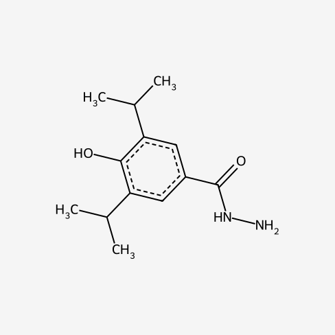 CC(C)c1cc(C(=O)NN)cc(C(C)C)c1O